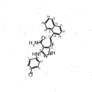 NC(=O)c1c(Nc2ccc(Cl)cc2)n[nH]c1/N=C/c1cccc2ccccc12